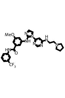 COc1cc(Nc2nccn2-c2cc(NCCN3CCCC3)ncn2)cc(C(=O)Nc2cccc(C(F)(F)F)c2)c1